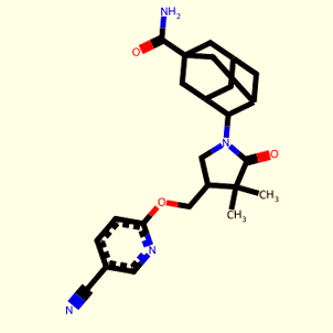 CC1(C)C(=O)N(C2C3CC4CC2CC(C(N)=O)(C4)C3)CC1COc1ccc(C#N)cn1